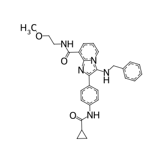 COCCNC(=O)c1cccn2c(NCc3ccccc3)c(-c3ccc(NC(=O)C4CC4)cc3)nc12